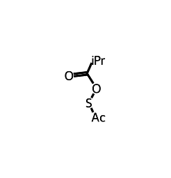 CC(=O)SOC(=O)C(C)C